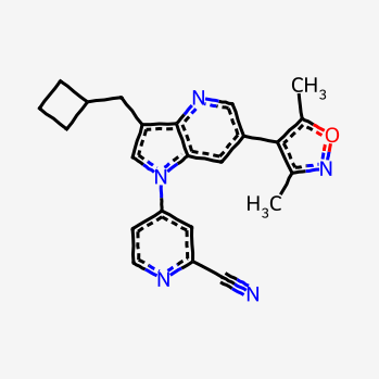 Cc1noc(C)c1-c1cnc2c(CC3CCC3)cn(-c3ccnc(C#N)c3)c2c1